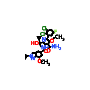 CCOc1c(C(N)=O)cc([C@@](O)(CNC(=O)c2cc(OC)c3nn(C4CC4)cc3c2)C2CC2)nc1-c1cc(F)cc(Cl)c1Cl